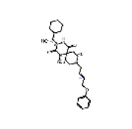 CCCCN1C(=O)[C@@H]([C@H](O)C2CCCCC2)NC(=O)C12CCN(C/C=C/COc1ccccc1)CC2.Cl